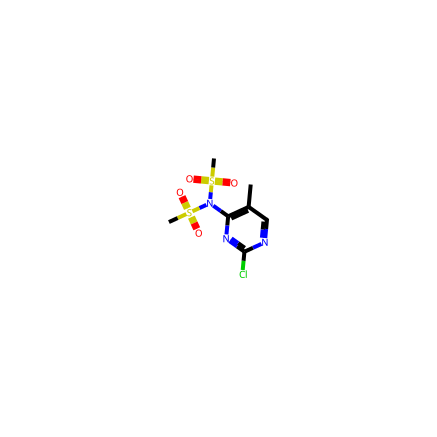 Cc1cnc(Cl)nc1N(S(C)(=O)=O)S(C)(=O)=O